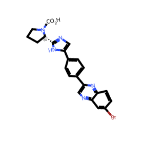 O=C(O)N1CCC[C@H]1c1ncc(-c2ccc(-c3cnc4cc(Br)ccc4n3)cc2)[nH]1